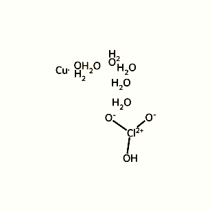 O.O.O.O.O.O.[Cu].[O-][Cl+2]([O-])O